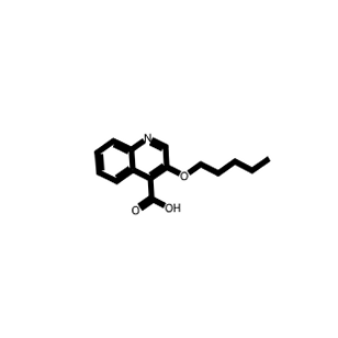 CCCCCOc1cnc2ccccc2c1C(=O)O